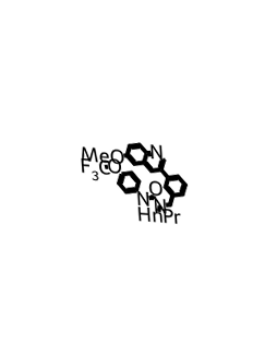 CCCN(Cc1cccc(-c2cnc3ccc(OC)cc3c2)c1)C(=O)Nc1ccc(OC(F)(F)F)cc1